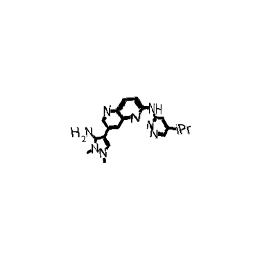 CC(C)c1cnnc(Nc2ccc3ncc(C4=CN(C)N(C)C4N)cc3n2)c1